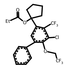 CCC(=O)OC1(c2cc(-c3ccccc3)c(OCC(F)(F)F)c(Cl)c2C(F)(F)F)CCCC1